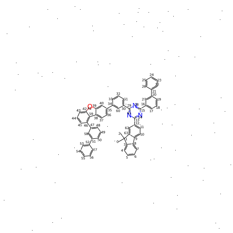 CC1(C)c2ccccc2-c2ccc(-c3nc(-c4cccc(-c5ccccc5)c4)nc(-c4cccc(-c5ccc6c(c5)oc5cccc(-c7cccc(-c8ccccc8)c7)c56)c4)n3)cc21